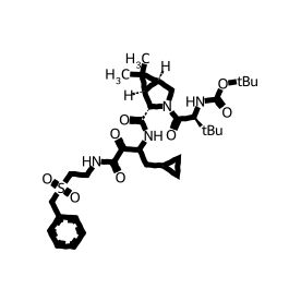 CC(C)(C)OC(=O)N[C@H](C(=O)N1C[C@H]2[C@@H]([C@H]1C(=O)NC(CC1CC1)C(=O)C(=O)NCCS(=O)(=O)Cc1ccccc1)C2(C)C)C(C)(C)C